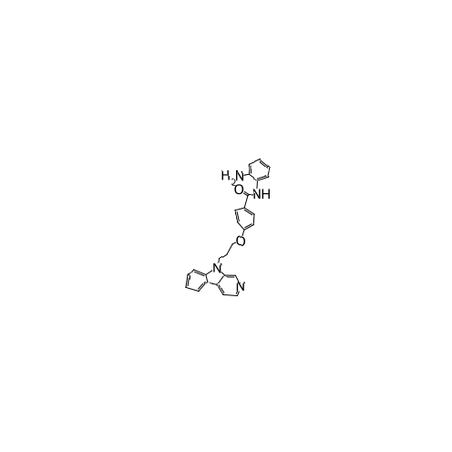 Nc1ccccc1NC(=O)c1ccc(OCCCn2c3ccccc3c3ccncc32)cc1